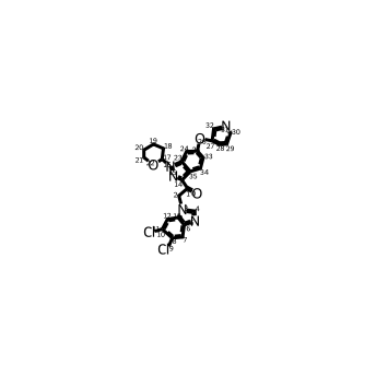 O=C(Cn1cnc2cc(Cl)c(Cl)cc21)c1nn(C2CCCCO2)c2cc(Oc3cccnc3)ccc12